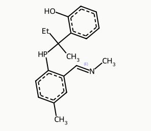 CCC(C)(Pc1ccc(C)cc1/C=N/C)c1ccccc1O